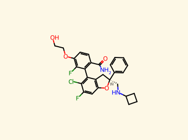 NC(=O)c1ccc(OCCO)c(F)c1-c1c(Cl)c(F)cc2c1C[C@@](CNC1CCC1)(c1ccccc1)O2